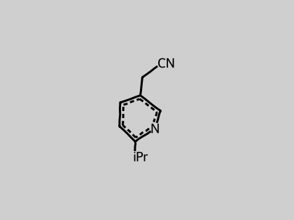 CC(C)c1ccc(CC#N)cn1